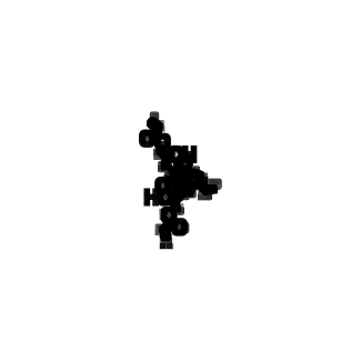 C=CC(=O)OCC(O)CN1C(=O)N(CC(O)COC(=O)C=C)C(CC)(C(C)CCC)C1=O